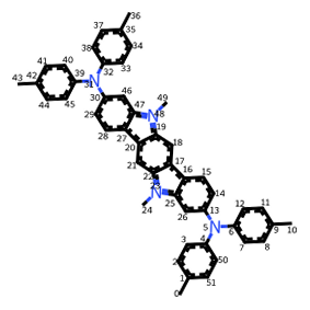 Cc1ccc(N(c2ccc(C)cc2)c2ccc3c4cc5c(cc4n(C)c3c2)c2ccc(N(c3ccc(C)cc3)c3ccc(C)cc3)cc2n5C)cc1